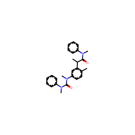 Cc1ccc(N(C)C(=O)N(C)c2ccccc2)cc1C(C)C(=O)N(C)c1ccccc1